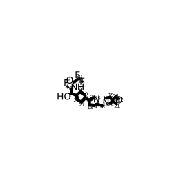 O=C(N[C@H](CF)[C@H](O)c1ccc(-c2ccc(CN3CCC4(COC4)C3)nc2)cc1)C(F)F